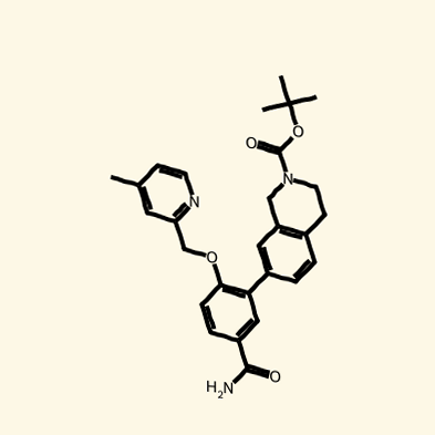 Cc1ccnc(COc2ccc(C(N)=O)cc2-c2ccc3c(c2)CN(C(=O)OC(C)(C)C)CC3)c1